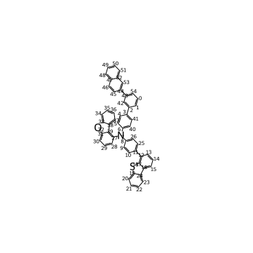 c1cc(-c2ccc(N(c3ccc(-c4cccc5c4sc4ccccc45)cc3)c3cccc4oc5ccccc5c34)cc2)cc(-c2ccc3ccccc3c2)c1